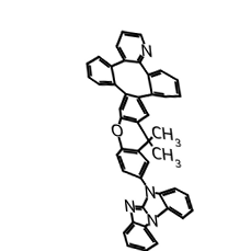 CC1(C)c2cc(-n3c4ccccc4n4c5ccccc5nc34)ccc2Oc2cc3c(cc21)-c1ccccc1-c1ncccc1-c1ccccc1-3